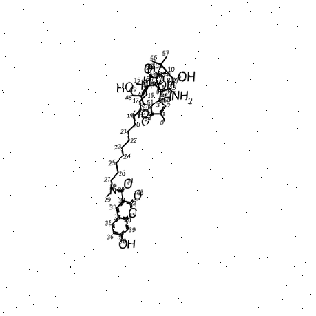 CC1=C[C@H]2[C@@]3(O)[C@H](N)[C@@H](O)[C@]4(OC(=O)N(C)CCCCCCCCCCCCN(C)C(=O)c5cc6ccc(O)cc6oc5=O)[C@H]([C@@H]3C=C(CO)C[C@]2(O)C1=O)C4(C)C